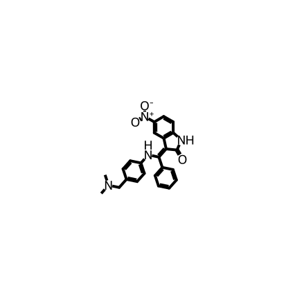 CN(C)Cc1ccc(NC(=C2C(=O)Nc3ccc([N+](=O)[O-])cc32)c2ccccc2)cc1